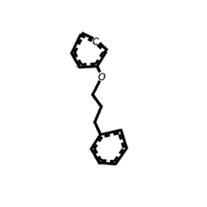 [c]1ccccc1OCCCc1ccccc1